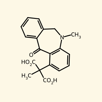 CN1Cc2ccccc2C(=O)c2c1cccc2C(C)(C(=O)O)C(=O)O